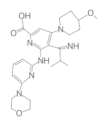 COC1CCN(c2cc(C(=O)O)nc(Nc3cccc(N4CCOCC4)n3)c2C(=N)C(C)C)CC1